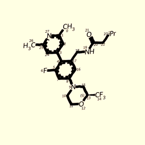 Cc1cc(-c2c(F)cc(N3CCO[C@H](C(F)(F)F)C3)cc2CNC(=O)CC(C)C)cc(C)n1